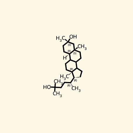 C[C@H](CCC(C)(C)O)[C@H]1CCC2C3CC[C@@]4(C)C[C@@](C)(O)CC[C@@H]4C3CC[C@@]21C